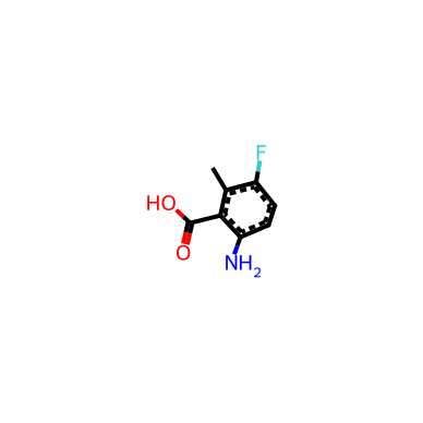 Cc1c(F)ccc(N)c1C(=O)O